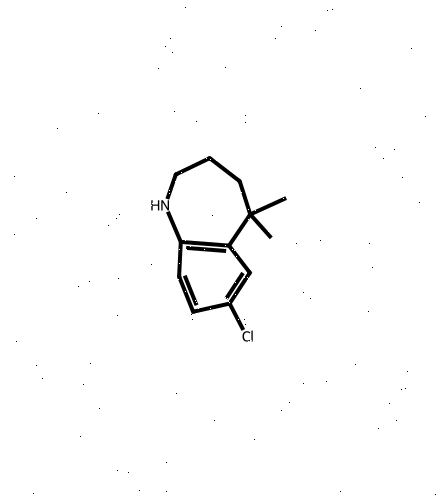 CC1(C)CCCNc2ccc(Cl)cc21